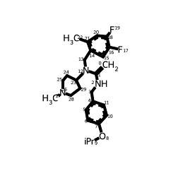 C=C(NCc1ccc(OC(C)C)cc1)N(Cc1cc(F)c(F)cc1C)C1CCN(C)CC1